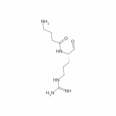 N=C(N)NCCC[C@@H](C=O)NC(=O)CCCN